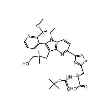 CCn1c(-c2cccnc2[C@H](C)OC)c(CC(C)(C)CO)c2nc(-c3csc(C[C@H](NC(=O)OC(C)(C)C)C(=O)O)n3)ccc21